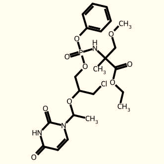 CCOC(=O)C(C)(COC)NP(=O)(OCC(CCl)OC(C)n1ccc(=O)[nH]c1=O)Oc1ccccc1